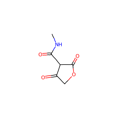 CNC(=O)C1C(=O)COC1=O